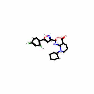 O=C(NC1C(C(=O)O)CCCN1C1CCCCC1)c1cc(-c2ccc(F)cc2F)on1